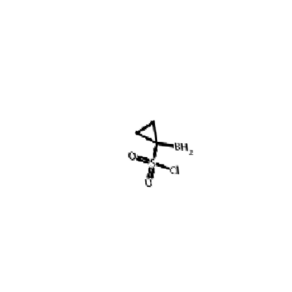 BC1(S(=O)(=O)Cl)CC1